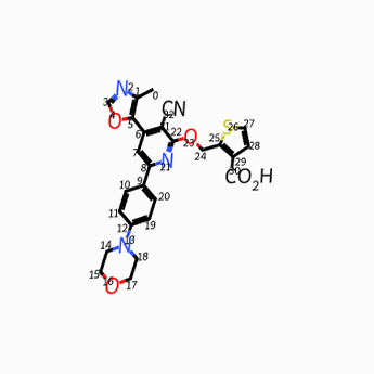 Cc1ncoc1-c1cc(-c2ccc(N3CCOCC3)cc2)nc(OCc2sccc2C(=O)O)c1C#N